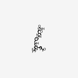 CC(=O)c1ccc(-c2cc(CNCC3CCN(c4nccc(/C=C5/SC(=O)NC5=O)n4)CC3)cc(C(F)(F)F)n2)s1